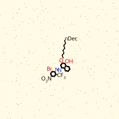 CCCCCCCCCCCCCCCCCCOc1cc(/N=N/c2c(Br)cc([N+](=O)[O-])cc2C(F)(F)F)c2ccccc2c1O